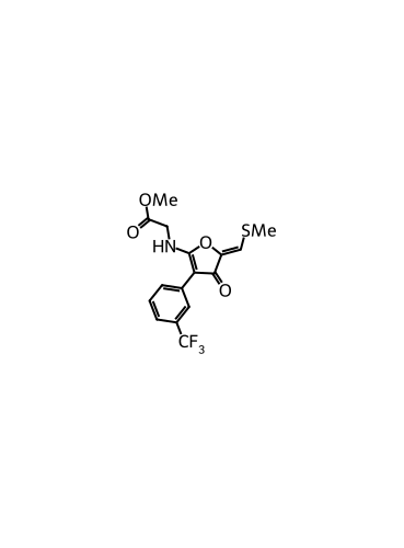 COC(=O)CNC1=C(c2cccc(C(F)(F)F)c2)C(=O)C(=CSC)O1